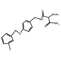 CC(=O)NC(C(=O)NCc1ccc(OCc2cccc(F)c2)cc1)C(N)=S